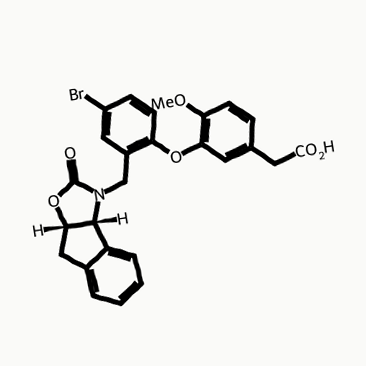 COc1ccc(CC(=O)O)cc1Oc1ccc(Br)cc1CN1C(=O)O[C@H]2Cc3ccccc3[C@H]21